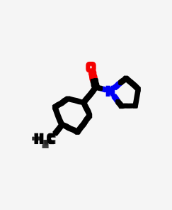 [CH2]C1CCC(C(=O)N2CCCC2)CC1